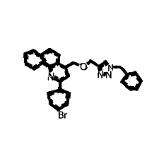 Brc1ccc(-c2cc(COCc3cn(Cc4ccccc4)nn3)c3ccc4ccccc4c3n2)cc1